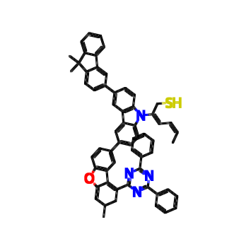 C/C=C\C=C(/CS)n1c2ccc(-c3ccc4c(c3)-c3ccccc3C4(C)C)cc2c2cc(-c3ccc4oc5c(c4c3)=C(c3nc(-c4ccccc4)nc(-c4ccccc4)n3)CC(C)C=5)ccc21